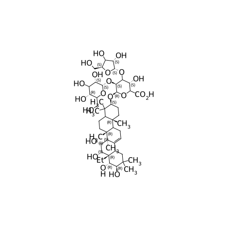 CC[C@@]12C(CC(C)(C)[C@@H](O)[C@@H]1O)C1=CCC3[C@@]4(C)CC[C@H](O[C@@H]5OC(C(=O)O)[C@@H](O)C(O[C@@H]6O[C@@H](CO)C(O)[C@@H]6O)[C@@H]5O[C@@H]5OC(CO)[C@H](O)C(O)[C@@H]5O)C(C)(C)C4CC[C@@]3(C)[C@]1(C)[C@@H](O)[C@H]2O